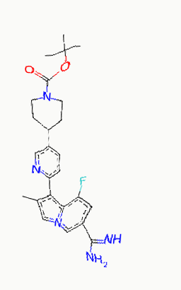 Cc1cn2cc(C(=N)N)cc(F)c2c1-c1ccc(C2CCN(C(=O)OC(C)(C)C)CC2)cn1